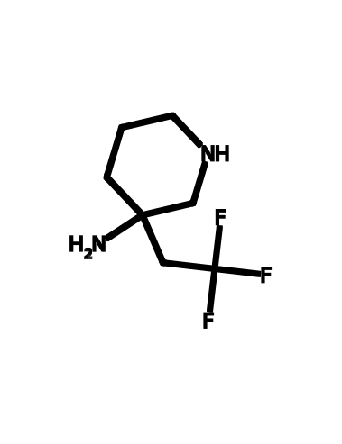 NC1(CC(F)(F)F)CCCNC1